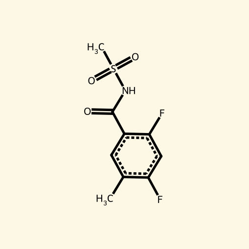 Cc1cc(C(=O)NS(C)(=O)=O)c(F)cc1F